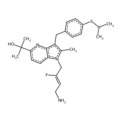 Cc1c(Cc2ccc(SN(C)C)cc2)c2nc(C(C)(C)O)ccc2n1C/C(F)=C/CN